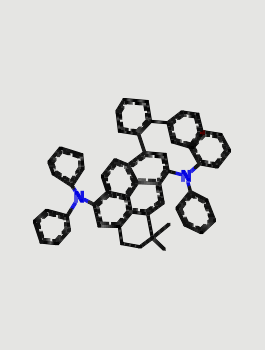 CC1(C)CCc2cc(N(c3ccccc3)c3ccccc3)c3ccc4c(-c5ccccc5-c5ccccc5)cc(N(c5ccccc5)c5ccccc5)c5cc1c2c3c45